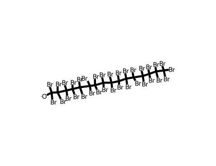 [O]C(Br)(Br)C(Br)(Br)C(Br)(Br)C(Br)(Br)C(Br)(Br)C(Br)(Br)C(Br)(Br)C(Br)(Br)C(Br)(Br)C(Br)(Br)C(Br)(Br)C(Br)(Br)C(Br)(Br)C(Br)(Br)C(Br)(Br)C(Br)(Br)Br